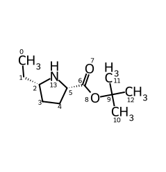 CC[C@H]1CC[C@@H](C(=O)OC(C)(C)C)N1